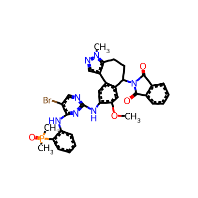 COc1cc2c(cc1Nc1ncc(Br)c(Nc3ccccc3P(C)(C)=O)n1)-c1cnn(C)c1CCC2N1C(=O)c2ccccc2C1=O